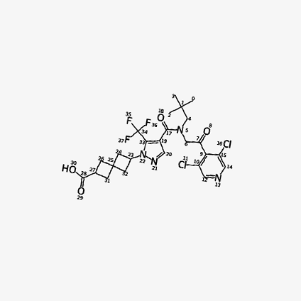 CC(C)(C)CN(CC(=O)c1c(Cl)cncc1Cl)C(=O)c1cnn(C2CC3(CC(C(=O)O)C3)C2)c1C(F)(F)F